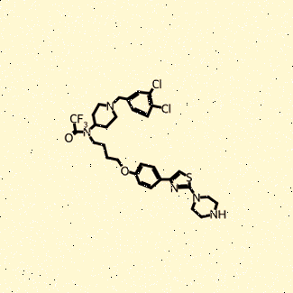 O=C(N(CCCCOc1ccc(-c2csc(N3CCNCC3)n2)cc1)C1CCN(Cc2ccc(Cl)c(Cl)c2)CC1)C(F)(F)F